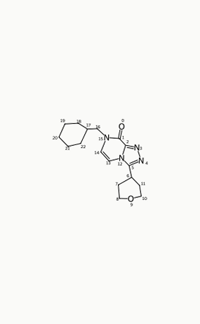 O=c1c2nnc(C3CCOCC3)n2ccn1CC1CCCCC1